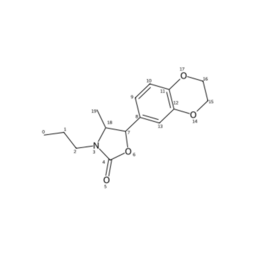 CCCN1C(=O)OC(c2ccc3c(c2)OCCO3)C1C